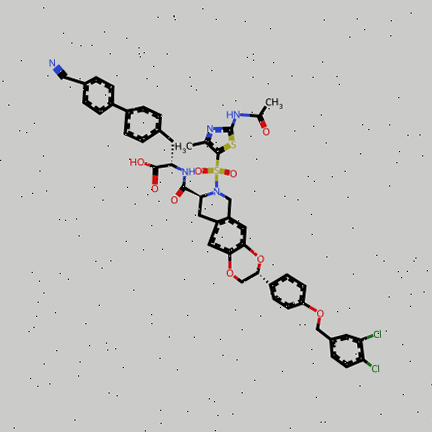 CC(=O)Nc1nc(C)c(S(=O)(=O)N2Cc3cc4c(cc3C[C@H]2C(=O)N[C@@H](Cc2ccc(-c3ccc(C#N)cc3)cc2)C(=O)O)OC[C@@H](c2ccc(OCc3ccc(Cl)c(Cl)c3)cc2)O4)s1